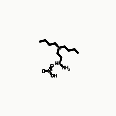 CCCCN(CCCC)CCNN.O=[N+]([O-])O